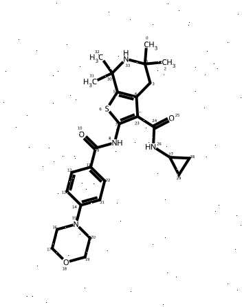 CC1(C)Cc2c(sc(NC(=O)c3ccc(N4CCOCC4)cc3)c2C(=O)NC2CC2)C(C)(C)N1